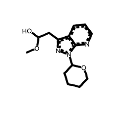 COC(O)Cc1nn(C2CCCCO2)c2ncccc12